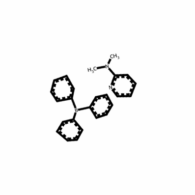 CN(C)c1ccccn1.c1ccc(B(c2ccccc2)c2ccccc2)cc1